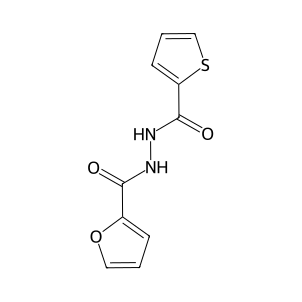 O=C(NNC(=O)c1cccs1)c1ccco1